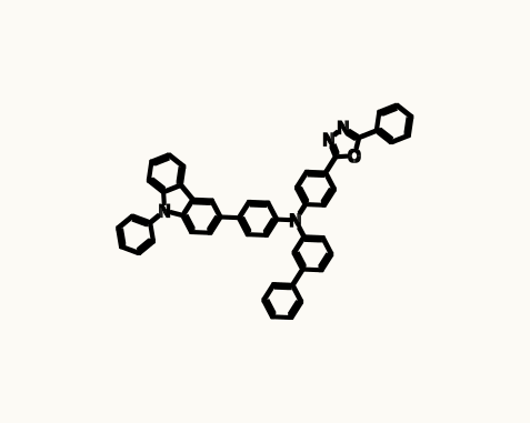 c1ccc(-c2cccc(N(c3ccc(-c4ccc5c(c4)c4ccccc4n5-c4ccccc4)cc3)c3ccc(-c4nnc(-c5ccccc5)o4)cc3)c2)cc1